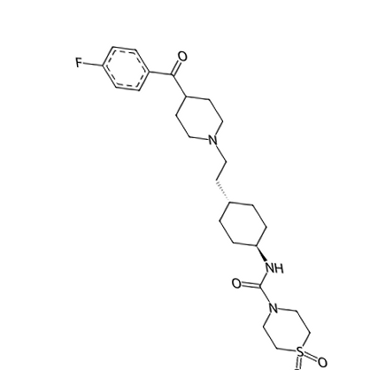 O=C(c1ccc(F)cc1)C1CCN(CC[C@H]2CC[C@H](NC(=O)N3CCS(=O)(=O)CC3)CC2)CC1